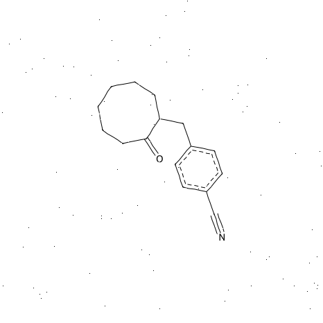 N#Cc1ccc(CC2CCCCCCC2=O)cc1